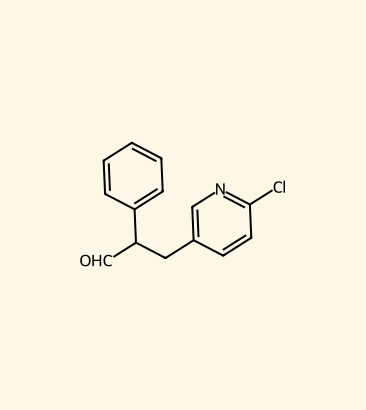 O=CC(Cc1ccc(Cl)nc1)c1ccccc1